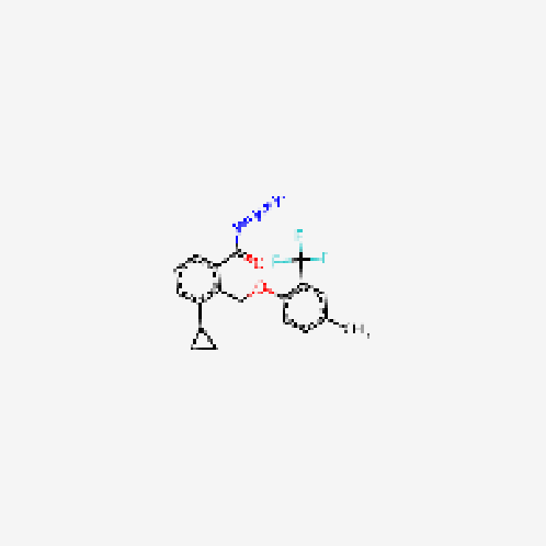 Cc1ccc(OCc2c(C(=O)N=[N+]=[N-])cccc2C2CC2)c(C(F)(F)F)c1